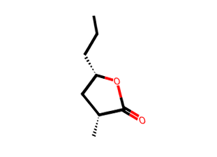 CCC[C@H]1C[C@@H](C)C(=O)O1